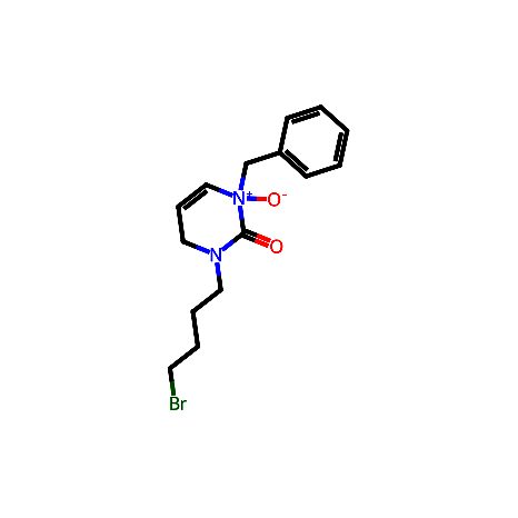 O=C1N(CCCCBr)CC=C[N+]1([O-])Cc1ccccc1